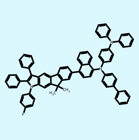 CC1(C)c2cc(-c3ccc(N(c4ccc(-c5ccccc5)cc4)c4ccc(N(c5ccccc5)c5ccccc5)cc4)c4ccccc34)ccc2-c2cc3c(-c4ccccc4)c(-c4ccccc4)n(-c4ccc(F)cc4)c3cc21